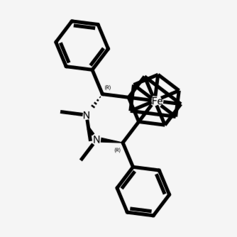 CN(C)[C@H](c1ccccc1)[C]12[CH]3[CH]4[CH]5[C]1([C@@H](c1ccccc1)N(C)C)[Fe]43521678[CH]2[CH]1[CH]6[CH]7[CH]28